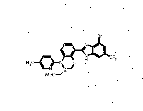 COC[C@H]1COc2c(-c3nc4c(Br)cc(C(F)(F)F)cc4[nH]3)cccc2N1c1ccc(C)cn1